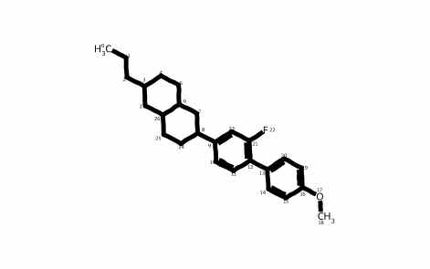 CCCC1CCC2CC(c3ccc(-c4ccc(OC)cc4)c(F)c3)CCC2C1